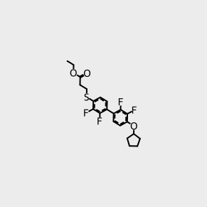 CCOC(=O)CCSc1ccc(-c2ccc(OC3CCCC3)c(F)c2F)c(F)c1F